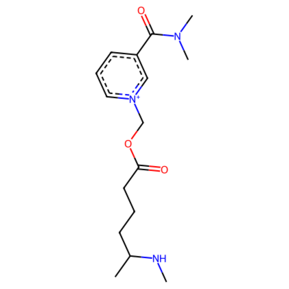 CNC(C)CCCC(=O)OC[n+]1cccc(C(=O)N(C)C)c1